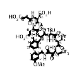 COc1cccc(CNC(=O)C(=O)[C@H](CC(F)(F)F)NC(=O)[C@H](CC(C)C)NC(=O)[C@@H](NC(=O)[C@H](Cc2ccccc2C)NC(=O)[C@H](CCC(=O)O)NC(=O)[C@H](CC(=O)O)NC(=O)CCC(=O)O)C(C)(C)C)c1